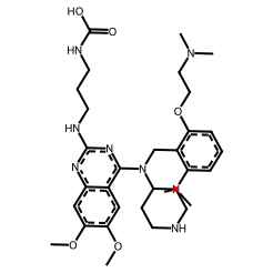 COc1cc2nc(NCCCNC(=O)O)nc(N(Cc3c(OCCN(C)C)cccc3N(C)C)C3CCNCC3)c2cc1OC